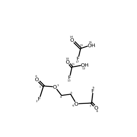 O=C(F)OCCOC(=O)F.O=C(O)F.O=C(O)F